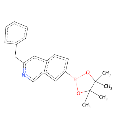 CC1(C)OB(c2ccc3cc(Cc4ccccc4)ncc3c2)OC1(C)C